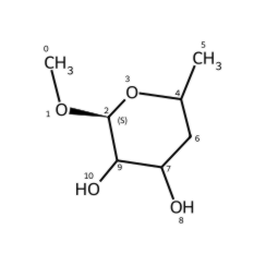 CO[C@H]1OC(C)CC(O)C1O